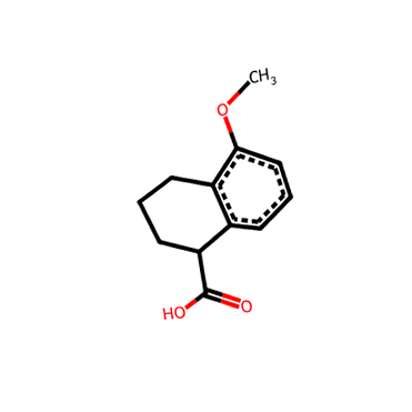 COc1cccc2c1CCCC2C(=O)O